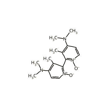 Cc1c(N(C)C)cc[n+]([O-])c1-c1c(C)c(N(C)C)cc[n+]1[O-]